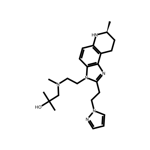 C[C@H]1CCc2c(ccc3c2nc(CCn2cccn2)n3CCN(C)CC(C)(C)O)N1